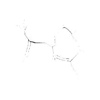 CNC(=O)C1CCSC(C)=N1